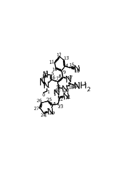 CCn1nncc1-c1c(-c2ccccc2C#N)nc(N)n2nc(Cc3ccccn3)nc12